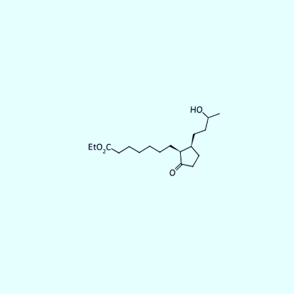 CCOC(=O)CCCCCC[C@@H]1C(=O)CC[C@@H]1CCC(C)O